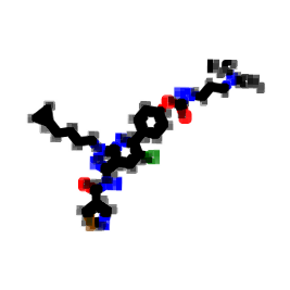 CN(C)CCCNC(=O)Oc1ccc(-c2nc3c(cc2Cl)c(NC(=O)c2cnsc2)nn3CCCCC2CC2)cc1